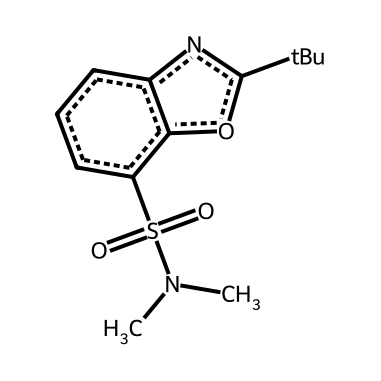 CN(C)S(=O)(=O)c1cccc2nc(C(C)(C)C)oc12